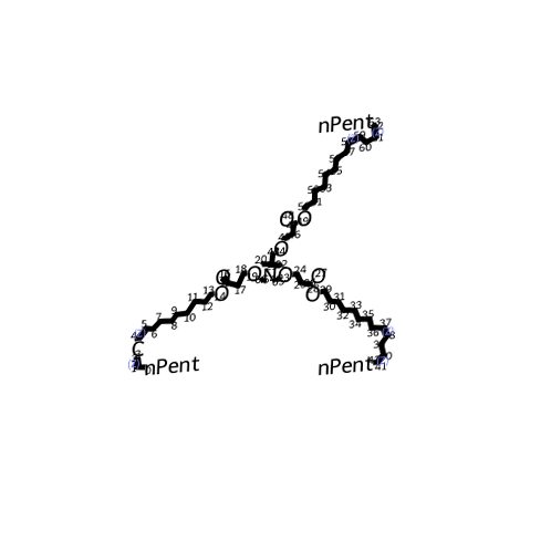 CCCCC/C=C\C/C=C\CCCCCCCCOC(=O)CCOCC(COCCC(=O)OCCCCCCCC/C=C\C/C=C\CCCCC)(COCCC(=O)OCCCCCCCC/C=C\C/C=C\CCCCC)N(C)C